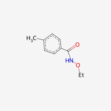 CCONC(=O)c1ccc(C)cc1